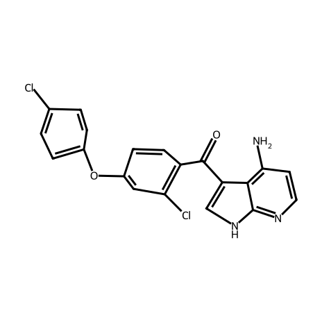 Nc1ccnc2[nH]cc(C(=O)c3ccc(Oc4ccc(Cl)cc4)cc3Cl)c12